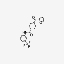 O=C(Nc1cccc(C(F)(F)F)c1)C1CCN(C(=O)c2ccco2)CC1